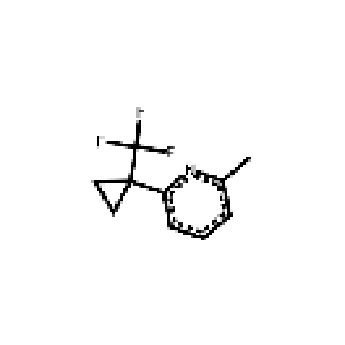 Cc1cccc(C2(C(F)(F)F)CC2)n1